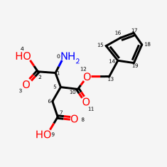 NC(C(=O)O)C(CC(=O)O)C(=O)OCc1ccccc1